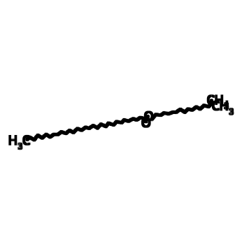 CCCCCCCCCCCCCCCCCCCCCCCCCCCCCCC(=O)OCCCCCCCCCCCCCCCC(C)C